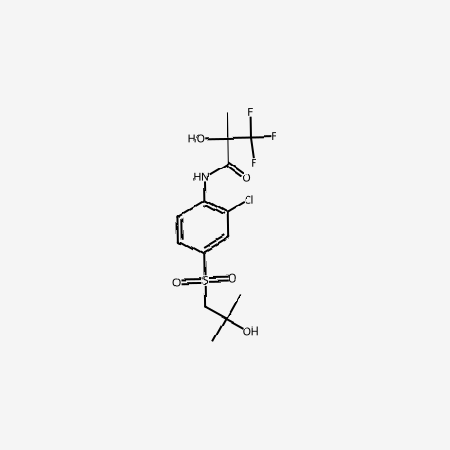 CC(C)(O)CS(=O)(=O)c1ccc(NC(=O)C(C)(O)C(F)(F)F)c(Cl)c1